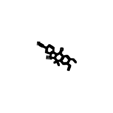 C=Cc1cc2c(cc1CC)C(=O)C1c3ccc(C#N)cc3NC1C2(C)C